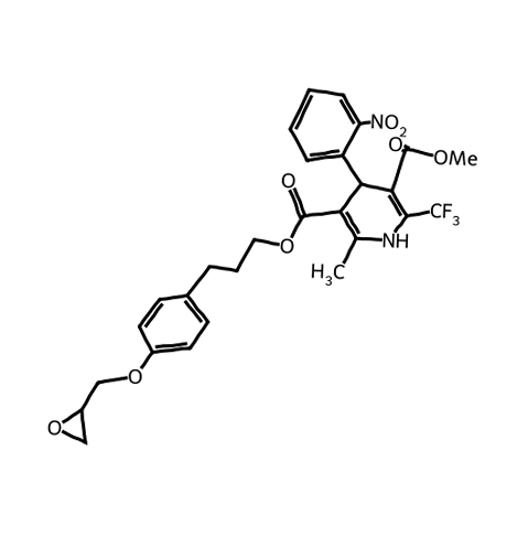 COC(=O)C1=C(C(F)(F)F)NC(C)=C(C(=O)OCCCc2ccc(OCC3CO3)cc2)C1c1ccccc1[N+](=O)[O-]